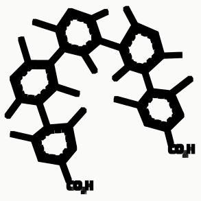 Cc1cc(C(=O)O)cc(C)c1-c1c(C)cc(C)c(-c2c(C)cc(C)c(-c3c(C)cc(C)c(-c4c(C)cc(C(=O)O)cc4C)c3C)c2C)c1C